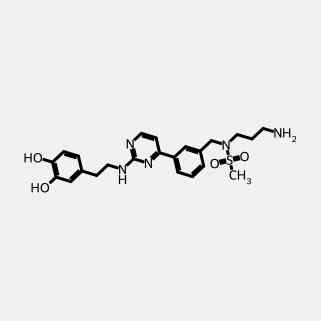 CS(=O)(=O)N(CCCN)Cc1cccc(-c2ccnc(NCCc3ccc(O)c(O)c3)n2)c1